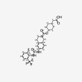 O=C(O)CC1CCC(OC(=O)N2CCc3cc(NC(=O)Nc4c(F)cccc4C(F)(F)F)ccc3C2)CC1